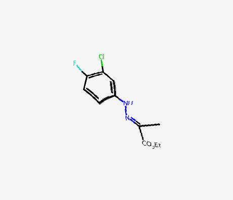 CCOC(=O)C(C)=NNc1ccc(F)c(Cl)c1